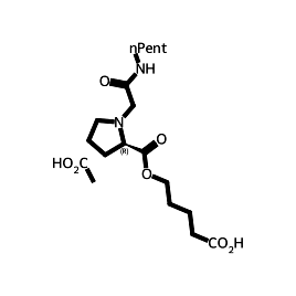 CC(=O)O.CCCCCNC(=O)CN1CCC[C@@H]1C(=O)OCCCCC(=O)O